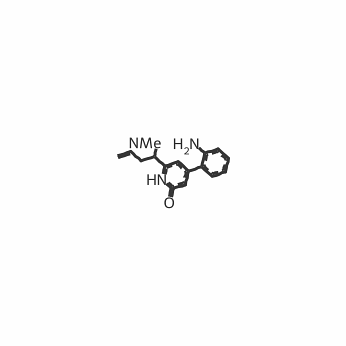 C=CCC(NC)c1cc(-c2ccccc2N)cc(=O)[nH]1